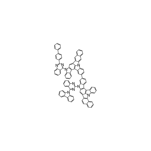 c1ccc(-c2ccc(-c3nc(-n4c5ccccc5c5c6c7cc(-c8ccc9c%10c%11c%12ccccc%12n%12c%13c%14ccccc%14ccc%13c(cc%10n(-c%10nc(-n%13c%14ccccc%14c%14ccccc%14%13)c%13ccccc%13n%10)c9c8)c%11%12)ccc7n7c8cc9ccccc9cc8c(cc54)c67)c4ccccc4n3)cc2)cc1